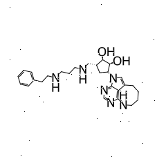 O[C@@H]1[C@@H](CNCCCNCCc2ccccc2)C[C@@H](n2cc3c4c(ncnc42)NCCCC3)[C@@H]1O